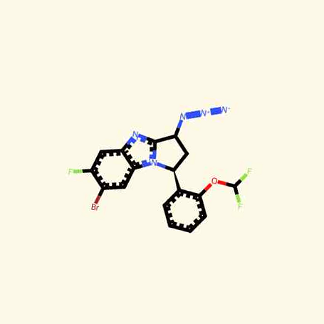 [N-]=[N+]=NC1C[C@@H](c2ccccc2OC(F)F)n2c1nc1cc(F)c(Br)cc12